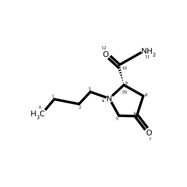 CCCCN1CC(=O)C[C@H]1C(N)=O